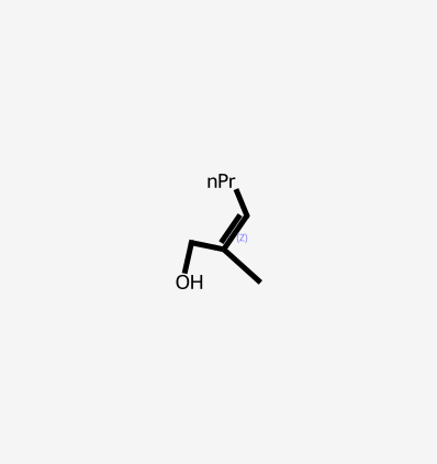 CCC/C=C(/C)CO